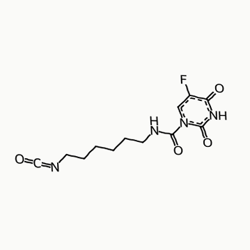 O=C=NCCCCCCNC(=O)n1cc(F)c(=O)[nH]c1=O